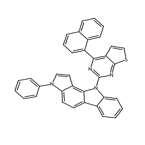 c1ccc(-n2ccc3c2ccc2c4ccccc4n(-c4nc(-c5cccc6ccccc56)c5ccsc5n4)c23)cc1